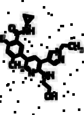 CCn1cc(-c2cc(-c3cc(C(=O)NC4CC4)c(F)cc3C)cnc2NCCO)cn1